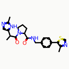 Cc1ncc(C(C)C(=O)N2CCCC2C(=O)NCc2ccc(-c3scnc3C)cc2)[nH]1